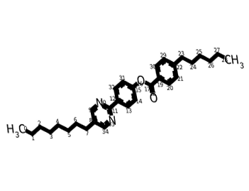 CCCCCCCCc1cnc(-c2ccc(OC(=O)c3ccc(CCCCCC)cc3)cc2)nc1